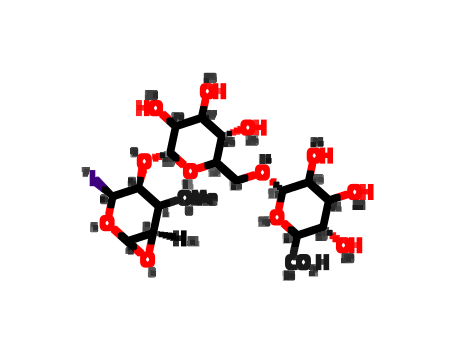 COC1[C@H]2OC2O[C@@H](I)[C@H]1O[C@H]1OC(CO[C@H]2OC(C(=O)O)[C@@H](O)C(O)C2O)[C@@H](O)C(O)C1O